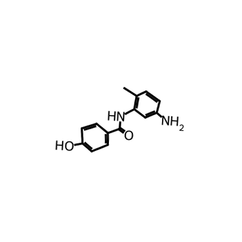 Cc1ccc(N)cc1NC(=O)c1ccc(O)cc1